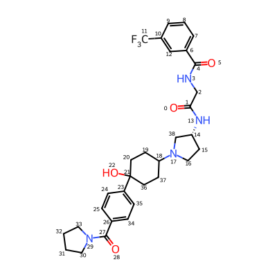 O=C(CNC(=O)c1cccc(C(F)(F)F)c1)N[C@@H]1CCN(C2CCC(O)(c3ccc(C(=O)N4CCCC4)cc3)CC2)C1